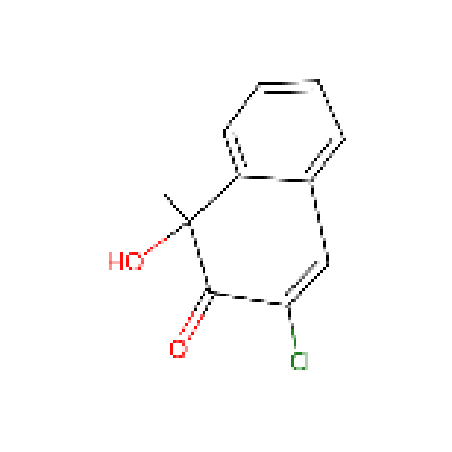 CC1(O)C(=O)C(Cl)=Cc2ccccc21